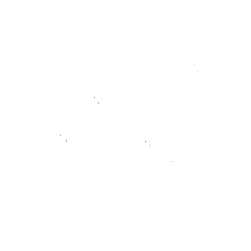 O=C(O)c1ccc(=O)n(Cc2ncon2)c1